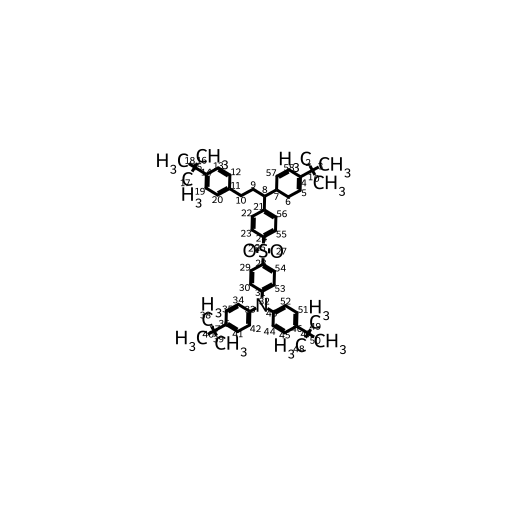 CC(C)(C)C1=CCC(C(CCc2ccc(C(C)(C)C)cc2)c2ccc(S(=O)(=O)c3ccc(N(c4ccc(C(C)(C)C)cc4)c4ccc(C(C)(C)C)cc4)cc3)cc2)C=C1